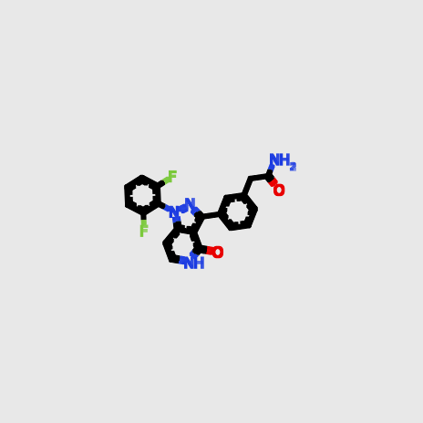 NC(=O)Cc1cccc(-c2nn(-c3c(F)cccc3F)c3cc[nH]c(=O)c23)c1